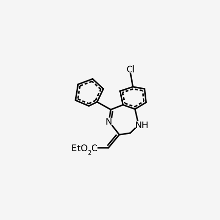 CCOC(=O)C=C1CNc2ccc(Cl)cc2C(c2ccccc2)=N1